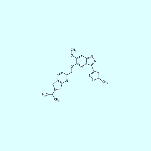 COc1cc2nnc(-c3cc(C)on3)n2nc1OCc1ccc2c(n1)CN(C(C)C)C2